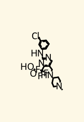 CN1CCC(NCc2cnc(Nc3cccc(Cl)c3)nc2C(F)(F)F)CC1.O=CO